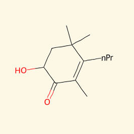 CCCC1=C(C)C(=O)C(O)CC1(C)C